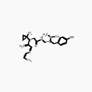 C=C(/C=N\C=C/C)[C@H](CC(=O)NC[C@H](Cc1ccc(O)cc1)N(C)C)C1(C(F)(F)F)CC1